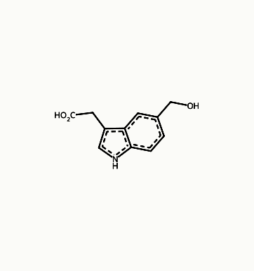 O=C(O)Cc1c[nH]c2ccc(CO)cc12